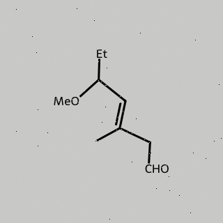 CCC(/C=C(\C)CC=O)OC